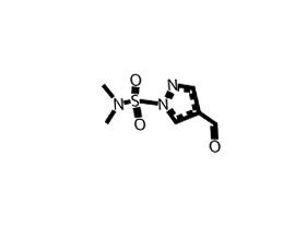 CN(C)S(=O)(=O)n1cc(C=O)cn1